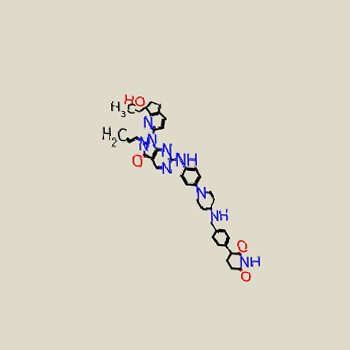 C=CCn1c(=O)c2cnc(Nc3ccc(N4CCC(NCc5ccc(C6CCC(=O)NC6=O)cc5)CC4)cc3)nc2n1-c1ccc2c(n1)[C@@](O)(CC)CC2